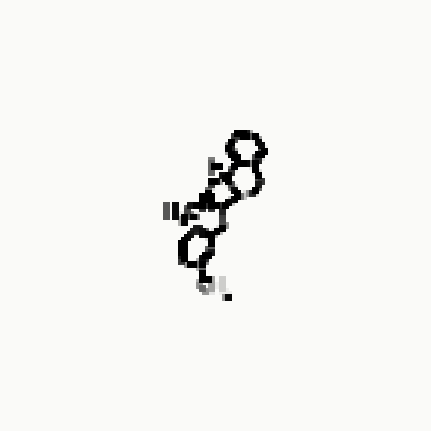 Cc1cccc(C[C@@H]2C3CCc4ccccc4[C@H]3CN2C)c1